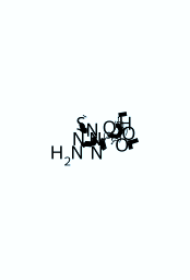 CC[C@H]1O[C@@H](c2cnc3c(N)nc(SC)nn23)[C@]2(C)OC(C)(C)O[C@H]12